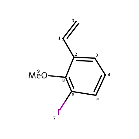 C=[C]c1cccc(I)c1OC